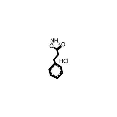 Cl.NOC(=O)CCc1ccccc1